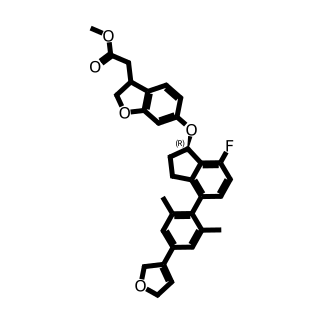 COC(=O)CC1COc2cc(O[C@@H]3CCc4c(-c5c(C)cc(C6=CCOC6)cc5C)ccc(F)c43)ccc21